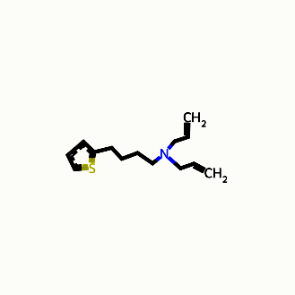 C=CCN(CC=C)CCCCc1cccs1